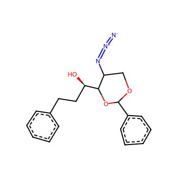 [N-]=[N+]=NC1COC(c2ccccc2)OC1[C@H](O)CCc1ccccc1